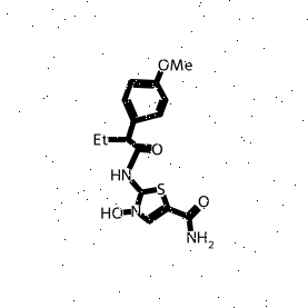 CCC(C(=O)NC1SC(C(N)=O)=CN1O)c1ccc(OC)cc1